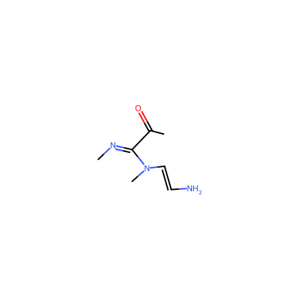 C/N=C(/C(C)=O)N(C)/C=C/N